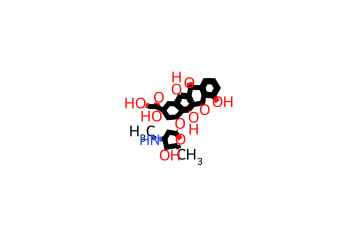 CNC1C[C@H](O[C@H]2C[C@](O)(C(=O)CO)Cc3c(O)c4c(c(O)c32)C(=O)c2c(O)cccc2C4=O)OC(C)[C@H]1O